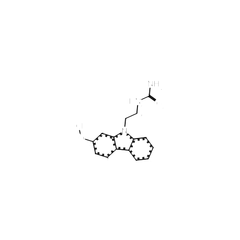 COc1ccc2c3ccccc3n(CCNC(N)=O)c2c1